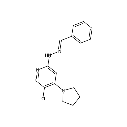 Clc1nnc(N/N=C/c2ccccc2)cc1N1CCCC1